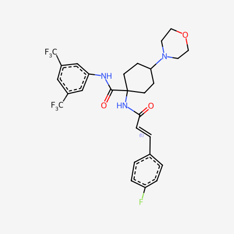 O=C(/C=C/c1ccc(F)cc1)NC1(C(=O)Nc2cc(C(F)(F)F)cc(C(F)(F)F)c2)CCC(N2CCOCC2)CC1